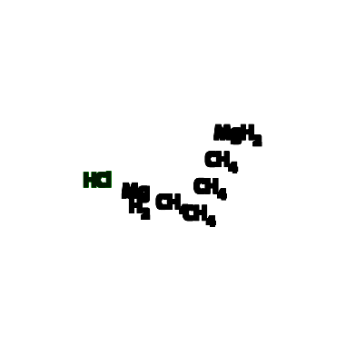 C.C.C.C.Cl.[MgH2].[MgH2]